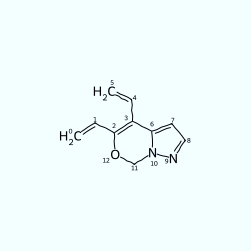 C=CC1=C(C=C)c2ccnn2CO1